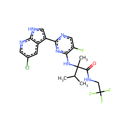 CC(C)C(C)(Nc1nc(-c2c[nH]c3ncc(Cl)cc23)ncc1F)C(=O)NCC(F)(F)F